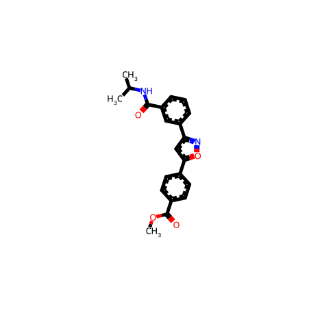 COC(=O)c1ccc(-c2cc(-c3cccc(C(=O)NC(C)C)c3)no2)cc1